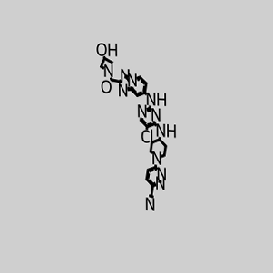 N#Cc1ccc(N2CCC(Nc3nc(Nc4ccn5nc(C(=O)N6CC(O)C6)nc5c4)ncc3Cl)CC2)nn1